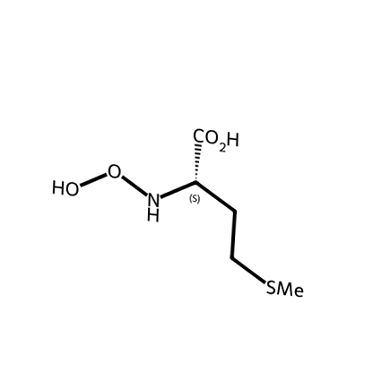 CSCC[C@H](NOO)C(=O)O